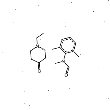 CCN1CCC(=O)CC1.Cc1cccc(C)c1N(C)C=O